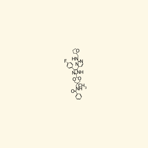 CC1(CNC(=O)c2ccccc2)COC(c2nc(-c3ccc(F)cc3)c(-c3ccnc(NCC4CCCO4)n3)[nH]2)OC1